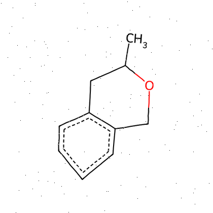 CC1Cc2ccccc2CO1